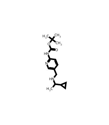 CC(NCc1ccc(NC(=O)OC(C)(C)C)nc1)C1CC1